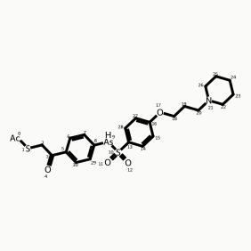 CC(=O)SCC(=O)c1ccc([AsH]S(=O)(=O)c2ccc(OCCCN3CCCCC3)cc2)cc1